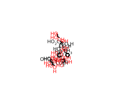 CC(=O)O.CCO.O=C(O)CC(O)(CC(=O)O)C(=O)O.O=C(O)CCC(=O)O.O=C(O)c1ccccc1.O=C[C@H](O)[C@@H](O)[C@H](O)[C@H](O)CO.OCC(O)CO.OC[C@H]1O[C@@](CO)(O[C@H]2O[C@H](CO)[C@@H](O)[C@H](O)[C@H]2O)[C@@H](O)[C@@H]1O